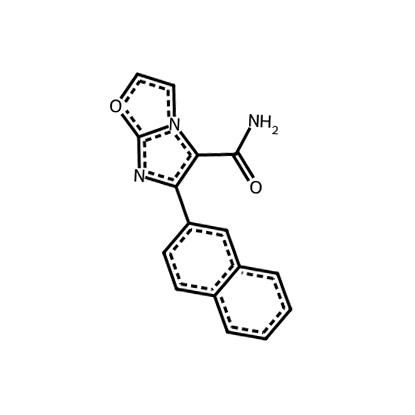 NC(=O)c1c(-c2ccc3ccccc3c2)nc2occn12